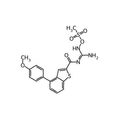 COc1ccc(-c2cccc3sc(C(=O)N=C(N)NOS(C)(=O)=O)cc23)cc1